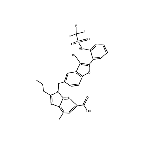 CCCc1nc2c(C)cc(C(=O)O)nc2n1Cc1ccc2oc(-c3ccccc3NS(=O)(=O)C(F)(F)F)c(Br)c2c1